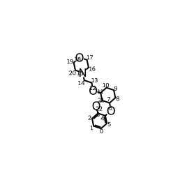 c1ccc2c(c1)OC1CCCC(OCCN3CCOCC3)C1O2